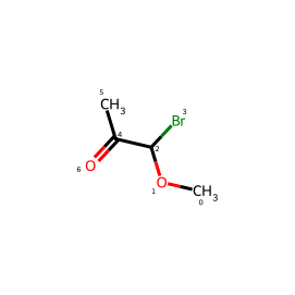 COC(Br)C(C)=O